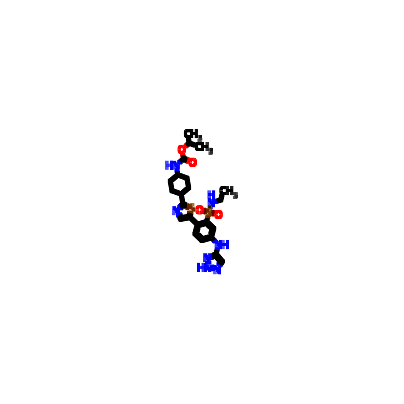 CCNS(=O)(=O)c1cc(Nc2cn[nH]n2)ccc1-c1cnc(C2CCC(NC(=O)OC(C)C)CC2)s1